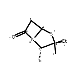 CC[C@]1(C)SC2CC(=O)N2[C@H]1C